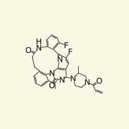 C=CC(=O)N1CCN(c2nc(=O)n3c4nc(c(F)cc24)-c2c(F)cccc2NC(=O)CCc2cccc(C(C)C)c2-3)C(C)C1